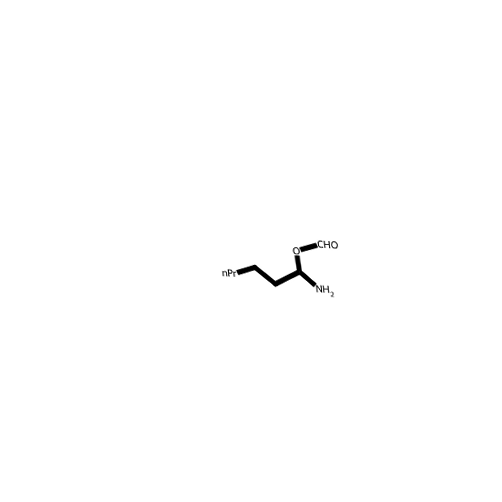 CCCCCC(N)OC=O